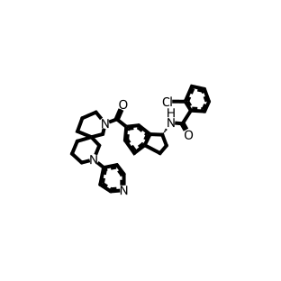 O=C(N[C@@H]1CCc2ccc(C(=O)N3CCCC4(CCCN(c5ccncc5)C4)C3)cc21)c1ccccc1Cl